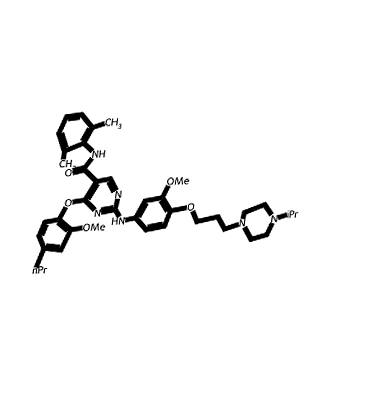 CCCc1ccc(Oc2nc(Nc3ccc(OCCCN4CCN(C(C)C)CC4)c(OC)c3)ncc2C(=O)Nc2c(C)cccc2C)c(OC)c1